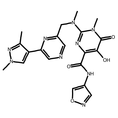 Cc1nn(C)cc1-c1cncc(CN(C)c2nc(C(=O)Nc3cnoc3)c(O)c(=O)n2C)n1